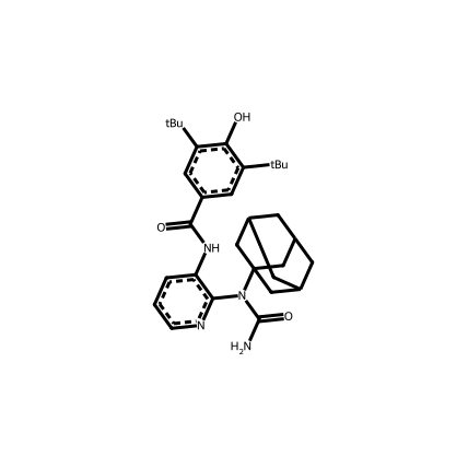 CC(C)(C)c1cc(C(=O)Nc2cccnc2N(C(N)=O)C23CC4CC(CC(C4)C2)C3)cc(C(C)(C)C)c1O